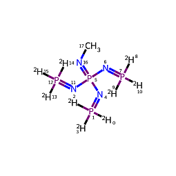 [2H]P([2H])([2H])=NP(N=P([2H])([2H])[2H])(N=P([2H])([2H])[2H])=NC